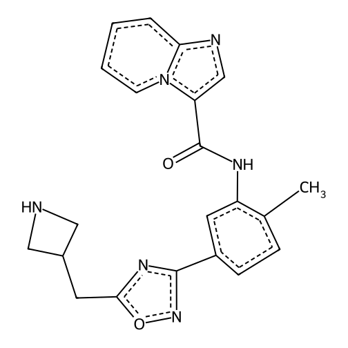 Cc1ccc(-c2noc(CC3CNC3)n2)cc1NC(=O)c1cnc2ccccn12